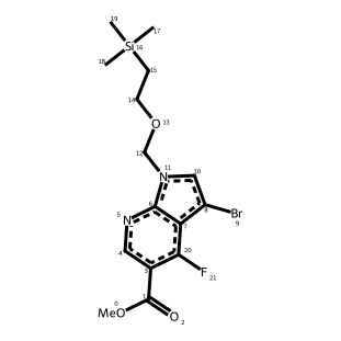 COC(=O)c1cnc2c(c(Br)cn2COCC[Si](C)(C)C)c1F